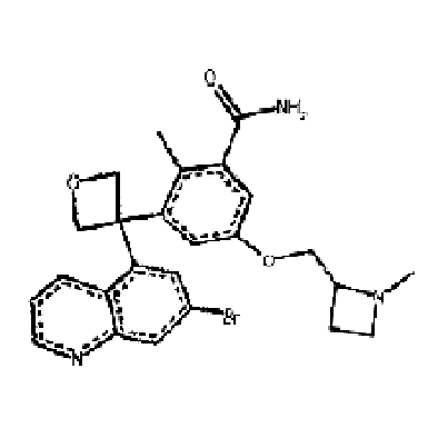 Cc1c(C(N)=O)cc(OCC2CCN2C)cc1C1(c2cc(Br)cc3ncccc23)COC1